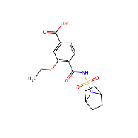 CCOc1cc(C(=O)O)ccc1C(=O)NS(=O)(=O)N1C2CCC1CC2